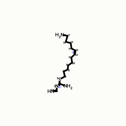 N=C/N=C(\N)SCCCCCC/C=C\CCCCN